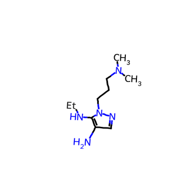 CCNc1c(N)cnn1CCCN(C)C